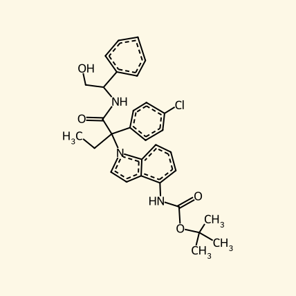 CCC(C(=O)NC(CO)c1ccccc1)(c1ccc(Cl)cc1)n1ccc2c(NC(=O)OC(C)(C)C)cccc21